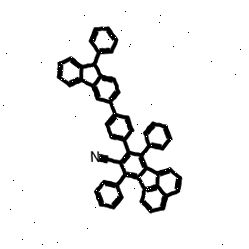 N#Cc1c(-c2ccc(-c3ccc4c(c3)-c3ccccc3C4c3ccccc3)cc2)c(-c2ccccc2)c2c(c1-c1ccccc1)-c1cccc3cccc-2c13